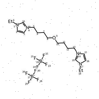 CCn1cc[n+](CCCCOCCCC[n+]2ccn(CC)c2)c1.F[B-](F)(F)F.F[B-](F)(F)F